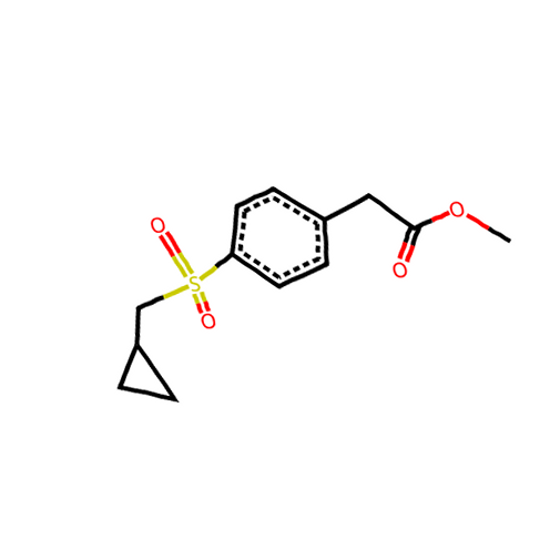 COC(=O)Cc1ccc(S(=O)(=O)CC2CC2)cc1